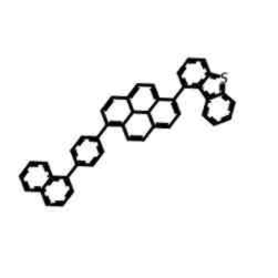 C1=CC2=C(c3ccc(-c4cccc5ccccc45)cc3)C=CC3=CC=C4C(c5cccc6sc7ccccc7c56)=CC=C1C4C32